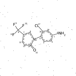 Nc1ccc(-n2cc(C(F)(F)F)ccc2=O)c(Cl)c1